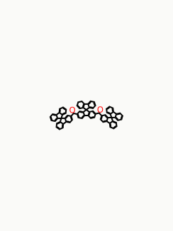 O=C(c1ccc2c(c1)C1(C3=C(CCC=C3)c3ccccc31)c1cc(C(=O)c3ccc4c(c3)C3(c5ccccc5-c5ccccc53)c3ccccc3-4)ccc1-2)c1ccc2c(c1)C1(c3ccccc3-c3ccccc31)c1ccccc1-2